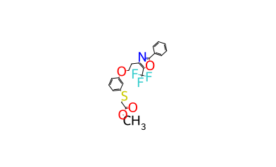 COC(=O)CSc1cccc(OCCc2nc(-c3ccccc3)oc2C(F)(F)F)c1